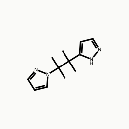 CC(C)(c1ccn[nH]1)C(C)(C)n1cccn1